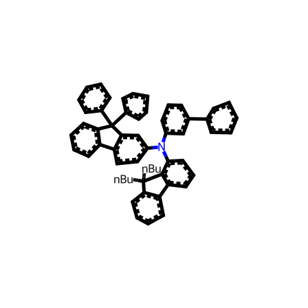 CCCCC1(CCCC)c2ccccc2-c2cccc(N(c3cccc(-c4ccccc4)c3)c3ccc4c(c3)C(c3ccccc3)(c3ccccc3)c3ccccc3-4)c21